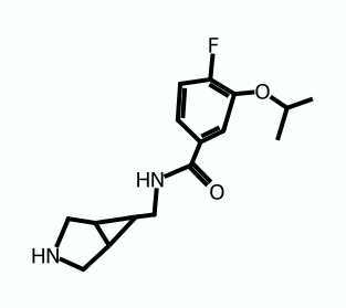 CC(C)Oc1cc(C(=O)NCC2C3CNCC32)ccc1F